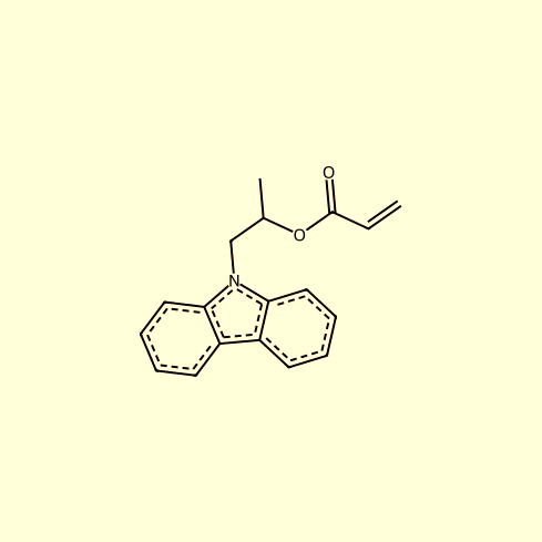 C=CC(=O)OC(C)Cn1c2ccccc2c2ccccc21